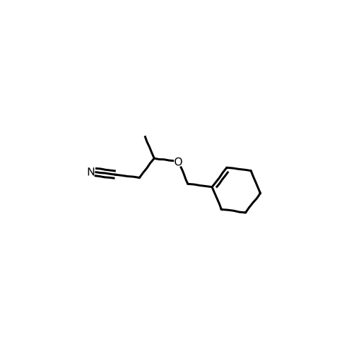 CC(CC#N)OCC1=CCCCC1